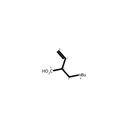 C=CC(CCCCC)C(=O)O